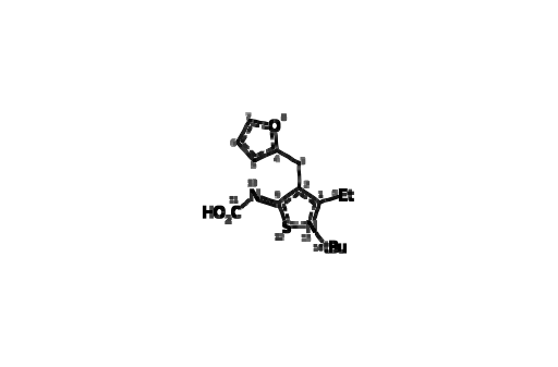 CCc1c(Cc2ccco2)c(=NC(=O)O)sn1C(C)(C)C